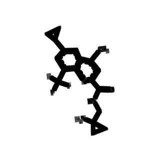 Cc1cc(C(=O)NCC2(N)CC2)nc2c(C(F)(F)F)cc(C3CC3)cc12